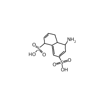 NC1C=C(S(=O)(=O)O)C=C2C1CC=CC2S(=O)(=O)O